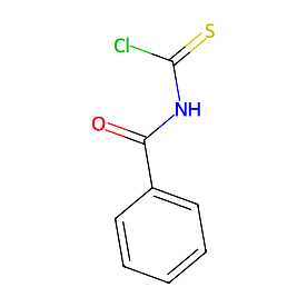 O=C(NC(=S)Cl)c1ccccc1